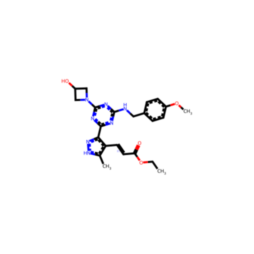 CCOC(=O)/C=C/c1c(-c2nc(NCc3ccc(OC)cc3)nc(N3CC(O)C3)n2)n[nH]c1C